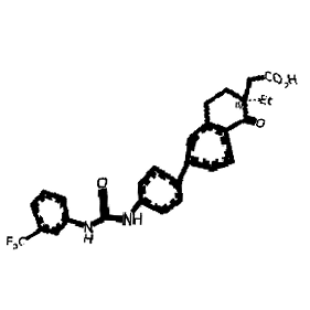 CC[C@@]1(CC(=O)O)CCc2cc(-c3ccc(NC(=O)Nc4cccc(C(F)(F)F)c4)cc3)ccc2C1=O